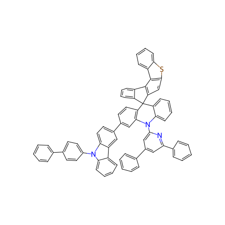 c1ccc(-c2ccc(-n3c4ccccc4c4cc(-c5ccc6c(c5)N(c5cc(-c7ccccc7)cc(-c7ccccc7)n5)c5ccccc5C65c6ccccc6-c6c5ccc5sc7ccccc7c65)ccc43)cc2)cc1